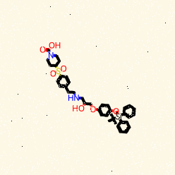 CC(C)(C)[Si](Oc1ccc(OCC(O)CNCCc2ccc(S(=O)(=O)C3CCN(C(=O)O)CC3)cc2)cc1)(c1ccccc1)c1ccccc1